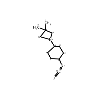 CC1(C)CN(C2CCC(N=C=O)CC2)C1